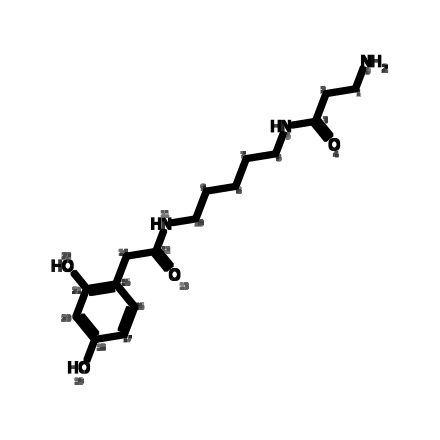 NCCC(=O)NCCCCCNC(=O)Cc1ccc(O)cc1O